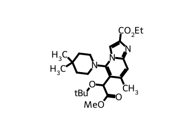 CCOC(=O)c1cn2c(N3CCC(C)(C)CC3)c(C(OC(C)(C)C)C(=O)OC)c(C)cc2n1